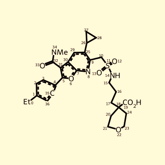 CCc1ccc(-c2oc3nc(CS(=O)(=O)NCCCC4(C(=O)O)CCOCC4)c(C4CC4)cc3c2C(=O)NC)cc1